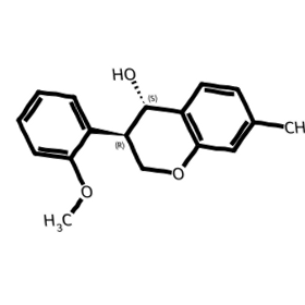 COc1ccccc1[C@@H]1COc2cc(C)ccc2[C@H]1O